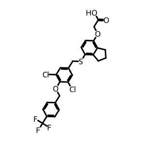 O=C(O)COc1ccc(SCc2cc(Cl)c(OCc3ccc(C(F)(F)F)cc3)c(Cl)c2)c2c1CCC2